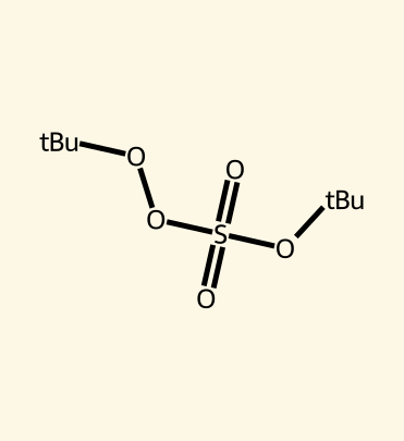 CC(C)(C)OOS(=O)(=O)OC(C)(C)C